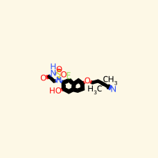 CC(C)(C#N)CCOc1ccc2cc(O)c(N3CC(=O)NS3(=O)=O)c(F)c2c1